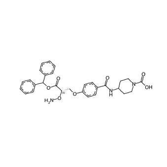 NO[C@@H](COc1ccc(C(=O)NC2CCN(C(=O)O)CC2)cc1)C(=O)OC(c1ccccc1)c1ccccc1